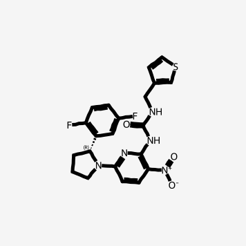 O=C(NCc1ccsc1)Nc1nc(N2CCC[C@@H]2c2cc(F)ccc2F)ccc1[N+](=O)[O-]